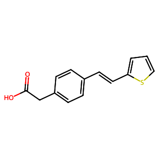 O=C(O)Cc1ccc(C=Cc2cccs2)cc1